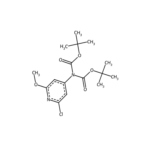 COc1cc(N(C(=O)OC(C)(C)C)C(=O)OC(C)(C)C)cc(Cl)n1